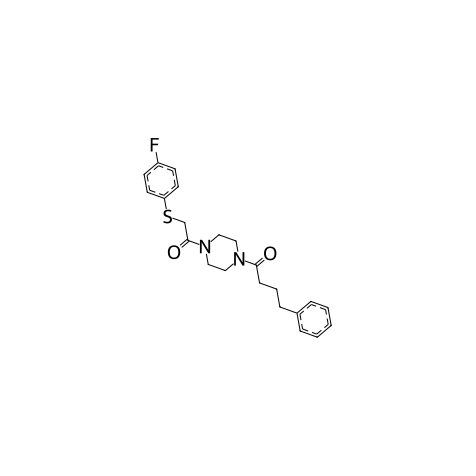 O=C(CCCc1ccccc1)N1CCN(C(=O)CSc2ccc(F)cc2)CC1